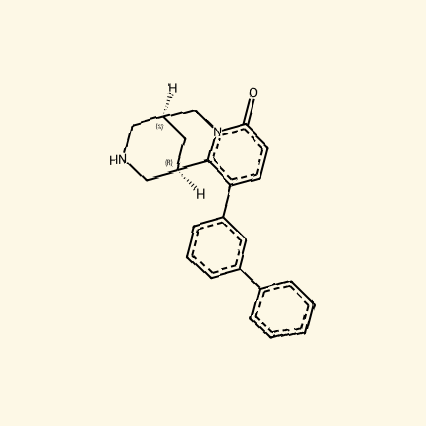 O=c1ccc(-c2cccc(-c3ccccc3)c2)c2n1C[C@@H]1CNC[C@H]2C1